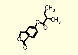 CCC(C)C(=O)Oc1ccc2c(c1)COC2=O